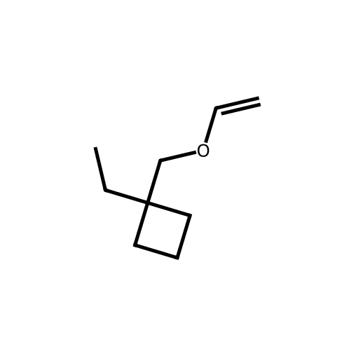 C=COCC1(CC)CCC1